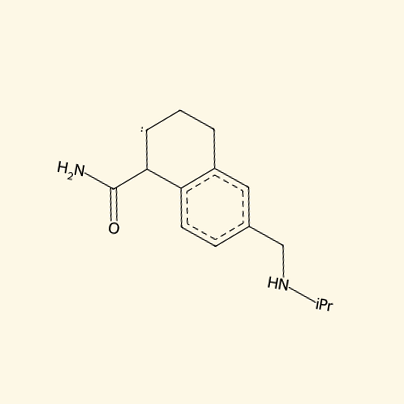 CC(C)NCc1ccc2c(c1)CC[C]C2C(N)=O